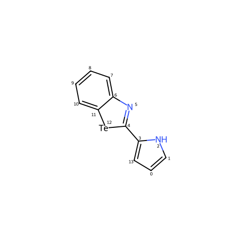 c1c[nH]c(-c2nc3ccccc3[te]2)c1